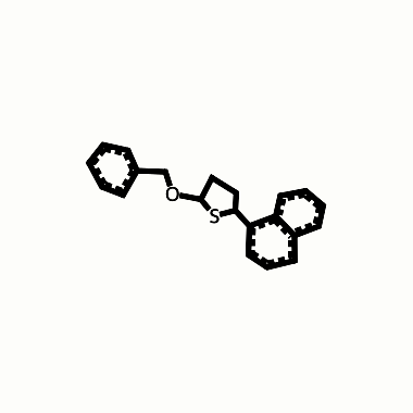 c1ccc(COC2CCC(c3cccc4ccccc34)S2)cc1